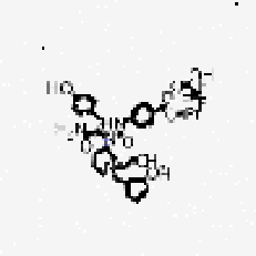 C=CC[N+]1(Cc2cccc(O)c2)CCC/C(=[N+](/C(=O)Nc2ccc(C(=O)OC(C)C)cc2)[C@@H](Cc2ccc(O)cc2)C(N)=O)C1.O=C(O)C(F)(F)F